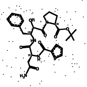 CC(C)(C)OC(=O)[C@@H]1CCCN1C(=O)C(O)[C@H](Cc1ccccc1)NC(=O)[C@H](CC(N)=O)NC(=O)c1cccs1